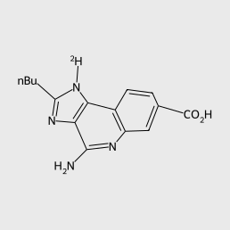 [2H]n1c(CCCC)nc2c(N)nc3cc(C(=O)O)ccc3c21